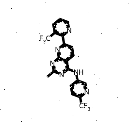 Cc1nc(Nc2ccc(C(F)(F)F)nc2)c2ccc(-c3ncccc3C(F)(F)F)nc2n1